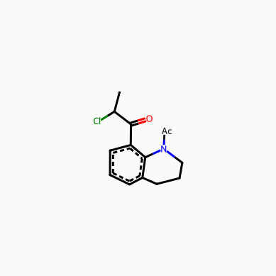 CC(=O)N1CCCc2cccc(C(=O)C(C)Cl)c21